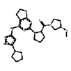 CO[C@@H]1CCN(C(=O)C2CCCN2c2nc3c(c(Nc4cc(C5CCCC5)[nH]n4)n2)CCC3)C1